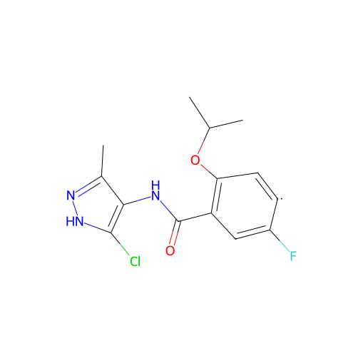 Cc1n[nH]c(Cl)c1NC(=O)c1cc(F)[c]cc1OC(C)C